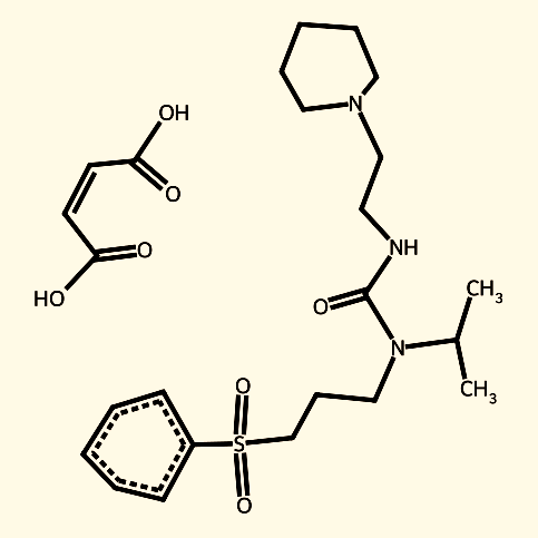 CC(C)N(CCCS(=O)(=O)c1ccccc1)C(=O)NCCN1CCCCC1.O=C(O)/C=C\C(=O)O